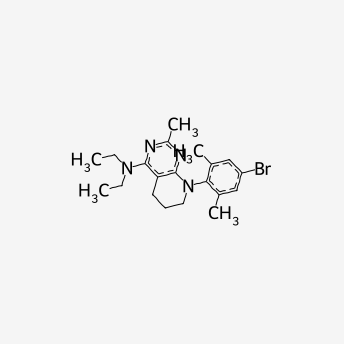 CCN(CC)c1nc(C)nc2c1CCCN2c1c(C)cc(Br)cc1C